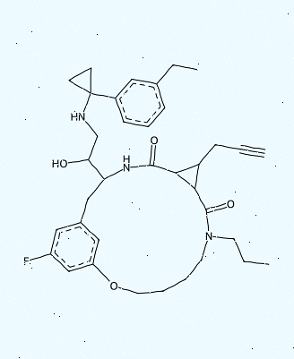 C#CCC1C2C(=O)NC(C(O)CNC3(c4cccc(CC)c4)CC3)Cc3cc(F)cc(c3)OCCCCN(CCC)C(=O)C12